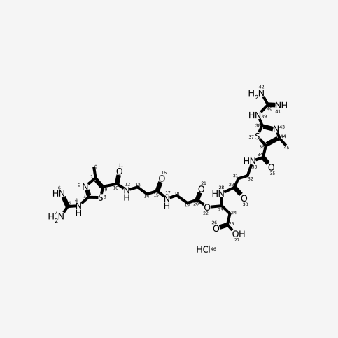 Cc1nc(NC(=N)N)sc1C(=O)NCCC(=O)NCCC(=O)OC(CC(=O)O)NC(=O)CCNC(=O)c1sc(NC(=N)N)nc1C.Cl